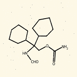 NC(=O)OCC(NC=O)(C1CCCCC1)C1CCCCC1